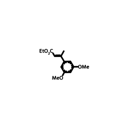 CCOC(=O)C=C(C)c1cc(OC)cc(OC)c1